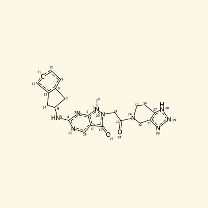 Cn1c2nc(NC3Cc4ccccc4C3)ncc2c(=O)n1CC(=O)N1CCc2[nH]nnc2C1